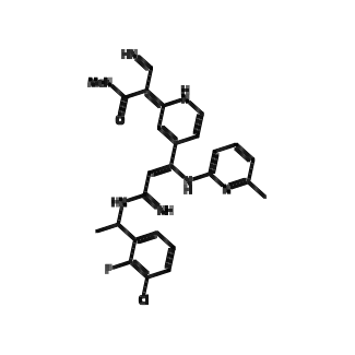 CNC(=O)/C(C=N)=C1C=C(/C(=C/C(=N)NC(C)c2cccc(Cl)c2F)Nc2cccc(C)n2)C=CN\1